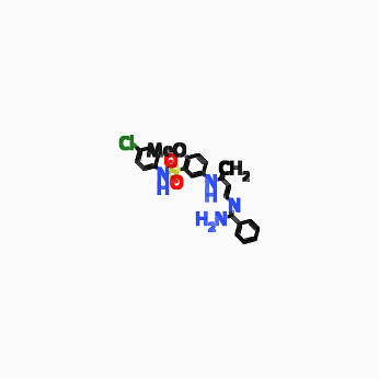 C=C(/C=C/N=C(\N)c1ccccc1)Nc1ccc(OC)c(S(=O)(=O)Nc2ccc(Cl)cc2)c1